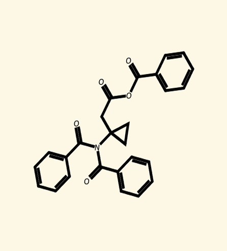 O=C(CC1(N(C(=O)c2ccccc2)C(=O)c2ccccc2)CC1)OC(=O)c1ccccc1